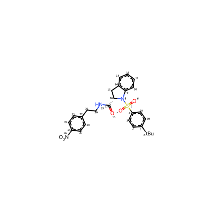 CC(C)(C)c1ccc(S(=O)(=O)N2c3ccccc3C[C@H]2C(=O)NCCc2ccc([N+](=O)[O-])cc2)cc1